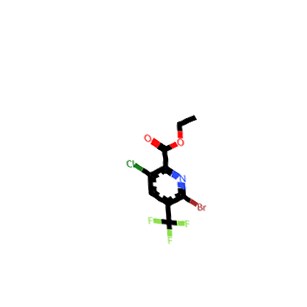 CCOC(=O)c1nc(Br)c(C(F)(F)F)cc1Cl